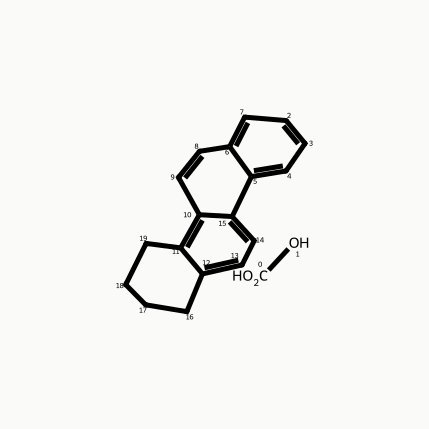 O=C(O)O.c1ccc2c(c1)ccc1c3c(ccc12)CCCC3